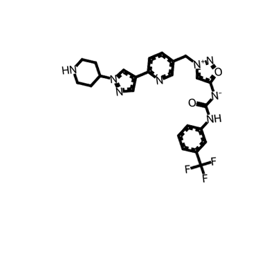 O=C([N-]c1c[n+](Cc2ccc(-c3cnn(C4CCNCC4)c3)nc2)no1)Nc1cccc(C(F)(F)F)c1